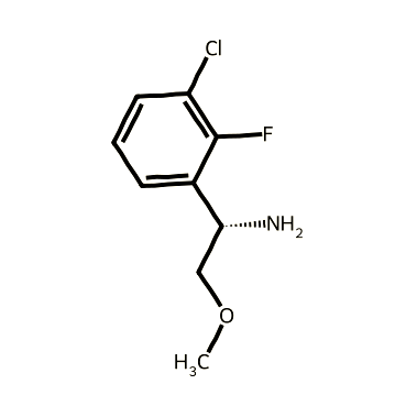 COC[C@@H](N)c1cccc(Cl)c1F